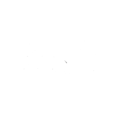 Cc1cc(C(P)[C@@H]2CC[C@H]2C(P)c2cc(C)c(C)c(C)c2)cc(C)c1C